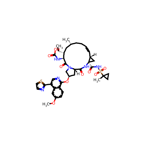 CC[C@@H]1C[C@H](C)CCC=C[C@@H]2C[C@@]2(C(=O)NS(=O)(=O)C2(C)CC2)NC(=O)[C@@H]2C[C@@H](Oc3ncc(-c4nccs4)c4cc(OC)ccc34)CN2C(=O)[C@H]1NC(=O)O